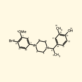 COc1cc(N2CCN(C(C)c3ccc(O)c(C)c3)CC2)ccc1Br